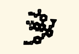 COc1ccc(COc2cccc(OCC3CC3)c2-c2cc(C3CCCN(C(=O)OC(C)(C)C)C3)c3cc([N+](=O)[O-])c(=O)[nH]c3n2)cc1